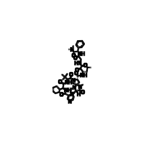 CCCC(NC(=O)[C@@H]1CC2(CN1C(=O)[C@@H](NC(=O)[C@@H](NC(=O)c1cnccn1)C1CCCCC1)C(C)(C)C)N(C)C(=O)[C@@H]1CCCN12)C(=O)C(=O)NCC(=O)NC(C(=O)N(C)C)c1ccccc1